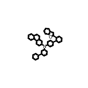 c1ccc(-c2cccc(N(c3ccc(-c4ccccc4-c4cc5ccccc5o4)cc3)c3ccc4c(ccc5ccccc54)c3)c2)cc1